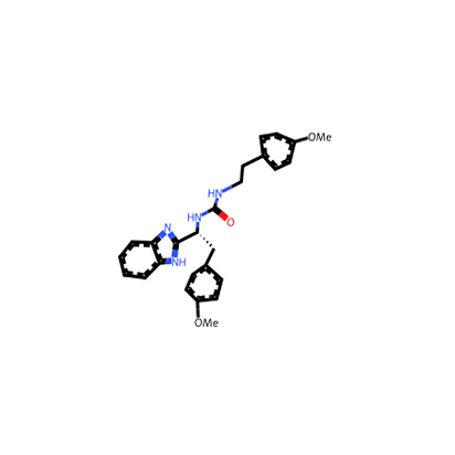 COc1ccc(CCNC(=O)N[C@H](Cc2ccc(OC)cc2)c2nc3ccccc3[nH]2)cc1